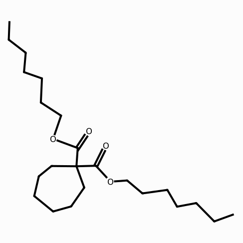 CCCCCCCOC(=O)C1(C(=O)OCCCCCCC)CCCCCC1